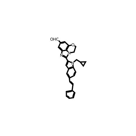 O=Cc1cc2c3c(c1)nc(-c1cc4cc(/C=C/c5ccccc5)ccc4n1CC1CC1)n3CCO2